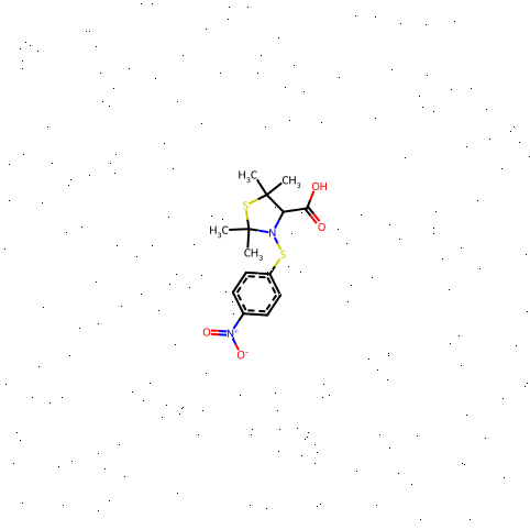 CC1(C)SC(C)(C)N(Sc2ccc([N+](=O)[O-])cc2)C1C(=O)O